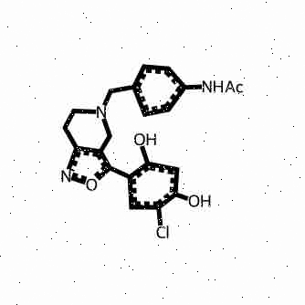 CC(=O)Nc1ccc(CN2CCc3noc(-c4cc(Cl)c(O)cc4O)c3C2)cc1